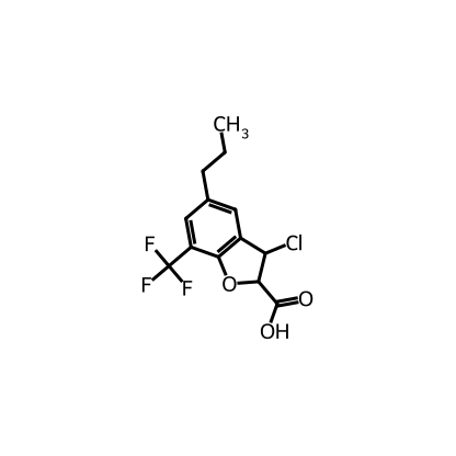 CCCc1cc2c(c(C(F)(F)F)c1)OC(C(=O)O)C2Cl